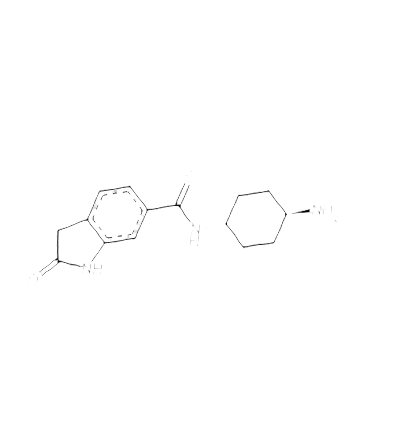 N[C@H]1CC[C@H](NC(=O)c2ccc3c(c2)NC(=O)C3)CC1